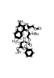 CCCC[C@H](COP(=O)(N[C@@H](C)C(=O)OC(C)C)Oc1ccccc1)n1c(COCC)nc2c(N)nc3ccccc3c21